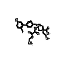 CCOC(=O)C(=O)N[C@]1(Cc2ccc(-c3cc(Cl)ccc3F)cc2)C[C@@](CCO)(C(=O)O)CN1